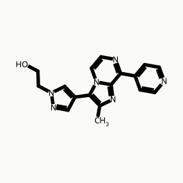 Cc1nc2c(-c3ccncc3)nccn2c1-c1cnn(CCO)c1